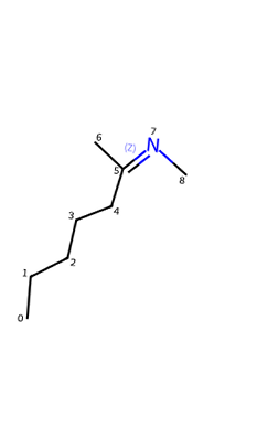 CCCCC/C(C)=N\C